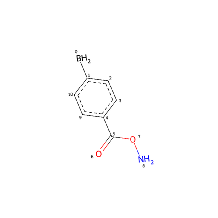 Bc1ccc(C(=O)ON)cc1